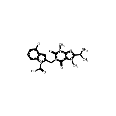 CC(N)c1nc2c(c(=O)n(Cc3cc4c(Cl)cccc4n3C(=O)O)c(=O)n2C)n1C